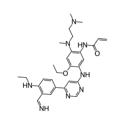 C=CC(=O)Nc1cc(Nc2cc(-c3ccc(NCC)c(C=N)c3)ncn2)c(OCC)cc1N(C)CCN(C)C